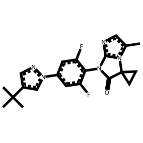 Cc1cnc2n1C1(CC1)C(=O)N2c1c(F)cc(-n2cc(C(C)(C)C)cn2)cc1F